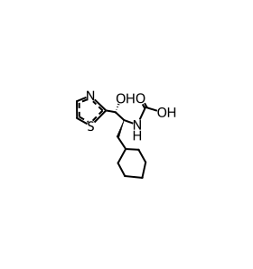 O=C(O)N[C@@H](CC1CCCCC1)[C@@H](O)c1nccs1